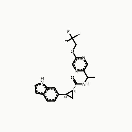 CC(NC(=O)[C@@H]1C[C@H]1c1ccc2cc[nH]c2c1)c1cnc(OCC(F)(F)F)cn1